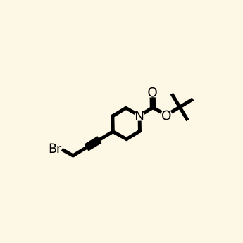 CC(C)(C)OC(=O)N1CCC(C#CCBr)CC1